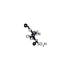 [C-]#[N+]/C(C#N)=c1/cc(OCCOC(CS(=O)(=O)O)c2ccccc2)/c(=C(\C#N)[N+]#[C-])cc1OCCOCCCc1ccccc1